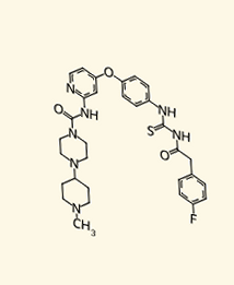 CN1CCC(N2CCN(C(=O)Nc3cc(Oc4ccc(NC(=S)NC(=O)Cc5ccc(F)cc5)cc4)ccn3)CC2)CC1